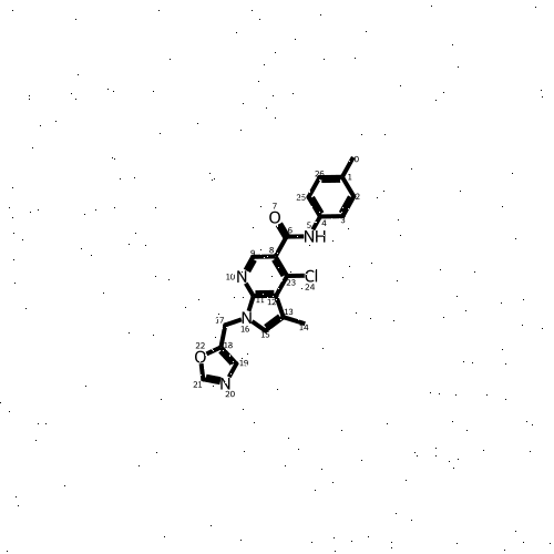 Cc1ccc(NC(=O)c2cnc3c(c(C)cn3Cc3cnco3)c2Cl)cc1